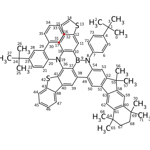 CC(C)(C)c1ccc(N2B3c4cc5sccc5cc4N(c4ccc(C(C)(C)C)cc4-c4ccccc4)c4c3c(cc3c4sc4ccccc43)-c3cc4c(cc32)C(C)(C)c2cc3c(cc2-4)C(C)(C)CCC3(C)C)cc1